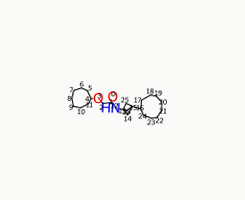 O=C(COC1CCCCCCC1)NC12CC(C3CCCCCCCC3)(C1)C2